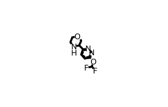 FC(F)Oc1ccc(C2COCCN2)nn1